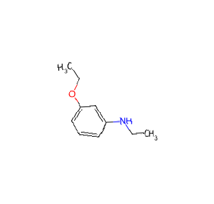 CCNc1cccc(OCC)c1